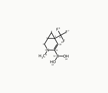 CN1CC2CC2(C(F)(F)F)C=C1B(O)O